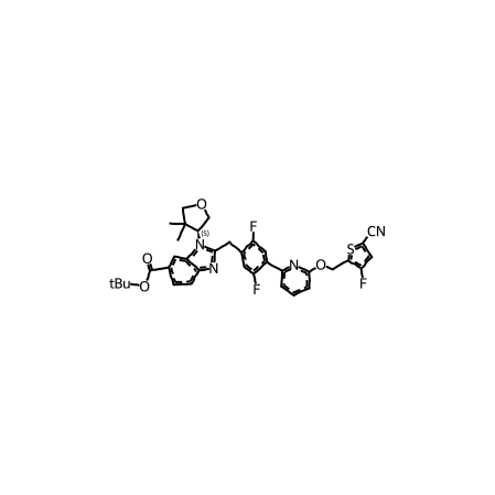 CC(C)(C)OC(=O)c1ccc2nc(Cc3cc(F)c(-c4cccc(OCc5sc(C#N)cc5F)n4)cc3F)n([C@@H]3COCC3(C)C)c2c1